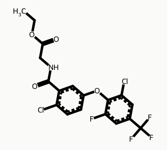 CCOC(=O)CNC(=O)c1cc(Oc2c(F)cc(C(F)(F)F)cc2Cl)ccc1Cl